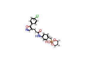 O=C(CCc1cnoc1-c1ccc(Cl)cc1)Nc1ccc(C[P]2(O)OCCCO2)cc1